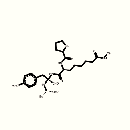 CC[C@@H](C)[C@@H](C=O)N[C@](C=O)(Cc1ccc(OC)cc1)NC(=O)[C@H](CCCCCC(=O)NO)NC(=O)C1CCCN1